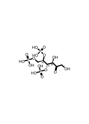 O=C(CO)[C@H](O)[C@H](OP(=O)(O)O)[C@@H](COP(=O)(O)O)OP(=O)(O)O